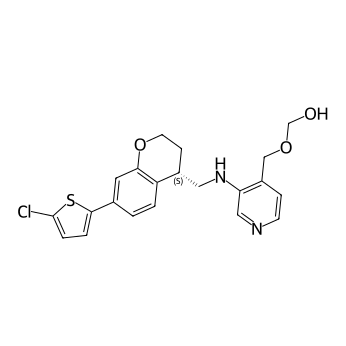 OCOCc1ccncc1NC[C@H]1CCOc2cc(-c3ccc(Cl)s3)ccc21